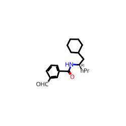 CCC[C@H](CC1CCCCC1)NC(=O)c1cccc(C=O)c1